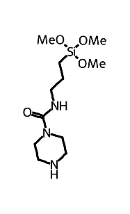 CO[Si](CCCNC(=O)N1CCNCC1)(OC)OC